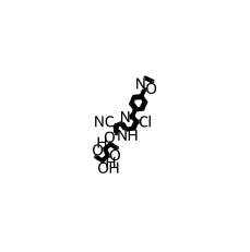 N#Cc1c(O[C@@H]2CO[C@H]3[C@@H]2OC[C@H]3O)[nH]c2cc(Cl)c(-c3ccc(C4=NCCO4)cc3)nc12